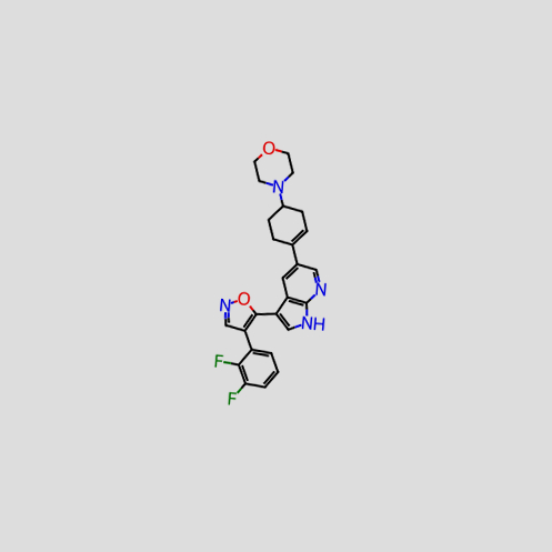 Fc1cccc(-c2cnoc2-c2c[nH]c3ncc(C4=CCC(N5CCOCC5)CC4)cc23)c1F